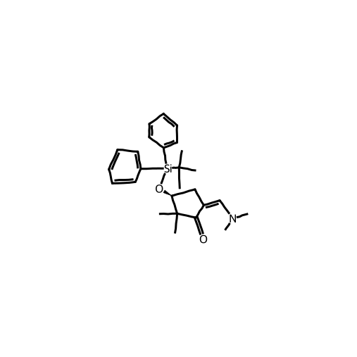 CN(C)C=C1C[C@H](O[Si](c2ccccc2)(c2ccccc2)C(C)(C)C)C(C)(C)C1=O